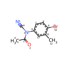 CC(=O)N(C#N)c1ccc(Br)c(C)c1